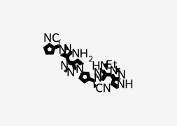 CCNc1nn([C@@H](CC#N)C2CCC(n3ccc4c(-c5cn([C@@H](CC#N)C6CCCC6)nc5N)ncnc43)C2)cc1-c1ncnc2[nH]ccc12